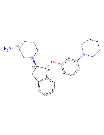 N[C@@H]1CCCN([C@@H]2Cc3ccccc3[C@H]2Oc2cccc(N3CCCCC3)c2)C1